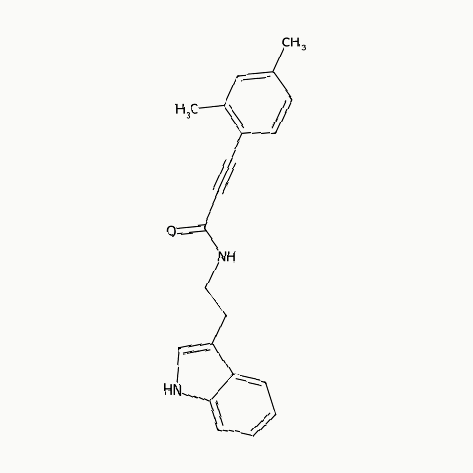 Cc1ccc(C#CC(=O)NCCc2c[nH]c3ccccc23)c(C)c1